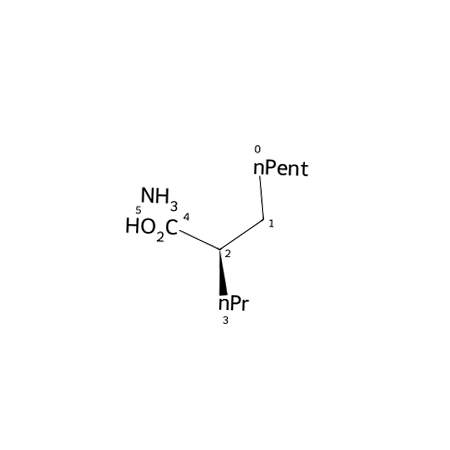 CCCCCC[C@@H](CCC)C(=O)O.N